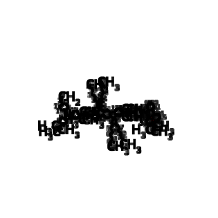 C=Cc1ccc(N(c2ccc(C(C)(C)C)cc2)c2ccc(C(C)(C)C(C)(C)c3ccc4c(c3)C(CCCCCCCC)(CCCCCCCC)c3cc5c(cc3-4)C(CCCCCCCC)(CCCCCCCC)c3cc(C(C)(C)C(C)(C)c4ccc(N(c6ccc(C(C)(C)C)cc6)c6ccccc6-c6ccccc6)cc4)ccc3-5)cc2)cc1